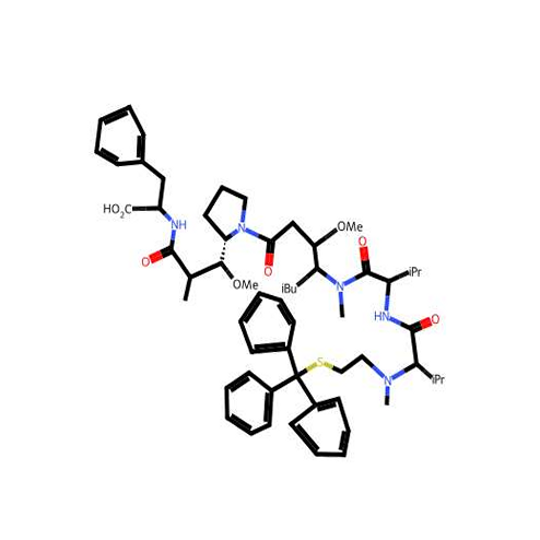 CCC(C)C(C(CC(=O)N1CCC[C@H]1C(OC)C(C)C(=O)NC(Cc1ccccc1)C(=O)O)OC)N(C)C(=O)C(NC(=O)C(C(C)C)N(C)CCSC(c1ccccc1)(c1ccccc1)c1ccccc1)C(C)C